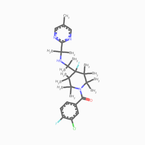 BC(B)(NC(B)(B)C1(F)C(B)(B)C(B)(B)N(C(=O)c2ccc(F)c(Cl)c2)C(B)(B)C1(B)B)c1ncc(C)cn1